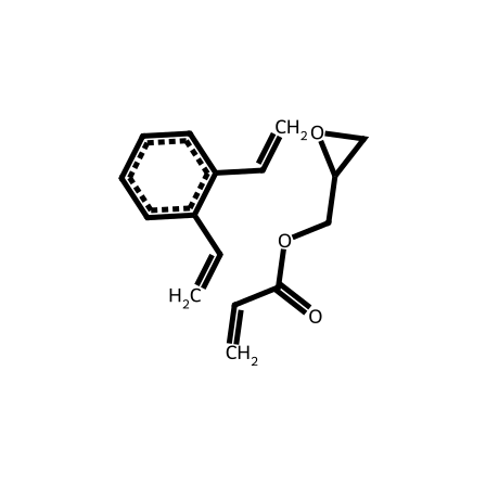 C=CC(=O)OCC1CO1.C=Cc1ccccc1C=C